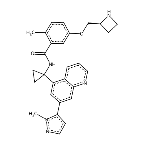 Cc1ccc(OC[C@@H]2CCN2)cc1C(=O)NC1(c2cc(-c3ccnn3C)cc3ncccc23)CC1